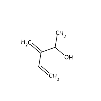 C=CC(=C)C(C)O